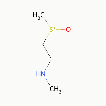 CNCC[S+](C)[O-]